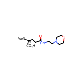 CN[C@@H](CCC(=O)NCCN1CCOCC1)C(=O)O